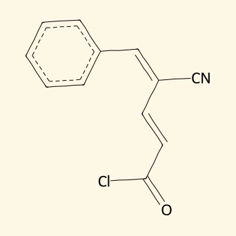 N#CC(C=CC(=O)Cl)=Cc1ccccc1